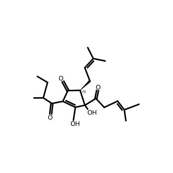 CCC(C)C(=O)C1=C(O)C(O)(C(=O)CC=C(C)C)[C@H](CC=C(C)C)C1=O